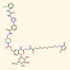 O=C(CCOCCOCCOCCN1C(=O)C=CC1=O)NCCC(=O)Nc1cc(COC(=O)N2CCC(CNC(=O)c3cccc(-n4cc(NC(=O)Nc5ccccc5Cl)cn4)c3)CC2)ccc1O[C@@H]1O[C@H](C(=O)O)[C@@H](O)[C@H](O)[C@H]1O